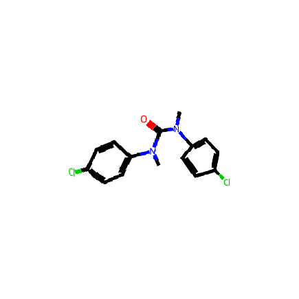 CN(C(=O)N(C)c1ccc(Cl)cc1)c1ccc(Cl)cc1